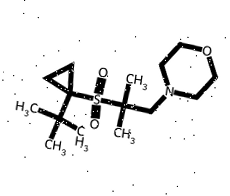 CC(C)(C)C1(S(=O)(=O)C(C)(C)CN2CCOCC2)CC1